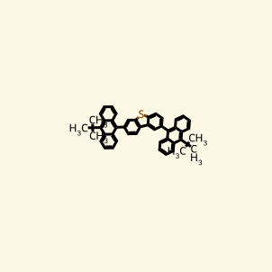 CC(C)(C)c1c2ccccc2c(-c2ccc3c(c2)sc2ccc(-c4c5ccccc5c(C(C)(C)C)c5ccccc45)cc23)c2ccccc12